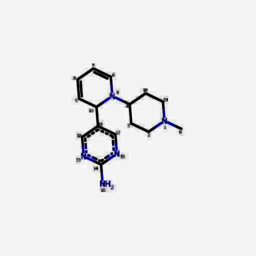 CN1CCC(N2C=CC=CC2c2cnc(N)nc2)CC1